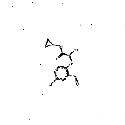 CC(Oc1ccc(Cl)cc1C=O)C(=O)NC1CC1